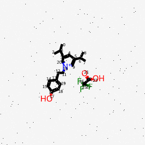 CC(C)c1cc(C(C)C)c[n+](CCc2ccc(O)cc2)c1.O=C(O)C(F)(F)F